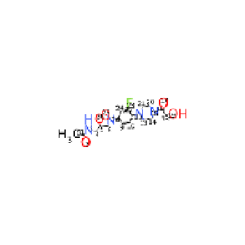 CC(=O)NCC1CN(c2ccc(N3CCN(C(=O)CO)CC3)c(F)c2)OO1